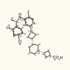 Cc1cnc(N2CC([C@H]3CCCN([C@H]4C[C@@H](C(=O)O)C4)C3)C2)nc1N[C@H](C)c1ccc(Cl)cc1Cl